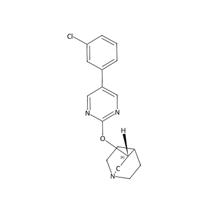 Clc1cccc(-c2cnc(O[C@H]3CN4CCC3CC4)nc2)c1